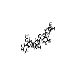 CC1=N/C(=C2\CN(C(=O)c3ccc(F)cc3O[C@H]3CC4CC(F)C(C3)N4)CC2=N)NC(C)=C1Cl